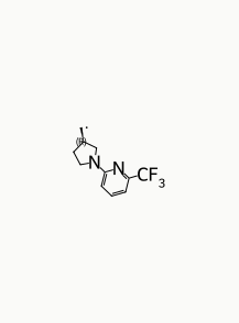 [CH2][C@@H]1CCN(c2cccc(C(F)(F)F)n2)C1